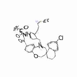 CC/C=C\CC1CCC1CN1CC2(CCCc3cc(Cl)ccc32)COc2ccc(C(=O)NS(=O)(=O)C(C)C)cc21